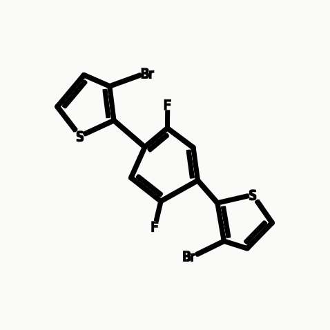 Fc1cc(-c2sccc2Br)c(F)cc1-c1sccc1Br